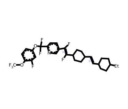 CCC1CCC(/C=C/C2CCC(/C(F)=C(\F)c3ccc(C(F)(F)Oc4ccc(OC(F)(F)F)c(F)c4)nc3)CC2)CC1